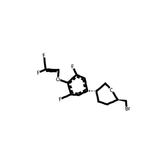 FC(F)=COc1c(F)cc([C@H]2CC[C@H](CBr)CC2)cc1F